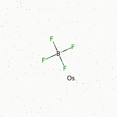 F[B-](F)(F)F.[Os]